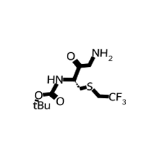 CC(C)(C)OC(=O)N[C@@H](CSCC(F)(F)F)C(=O)CN